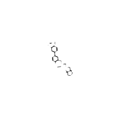 Cc1nc2cc(-c3ccc4c(c3)CN(C(=O)N3C[C@H]5CC(C)C[C@H]5C3)CCO4)ccc2[nH]1